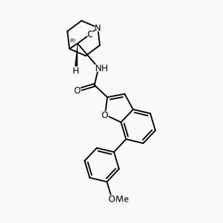 COc1cccc(-c2cccc3cc(C(=O)N[C@H]4CN5CCC4CC5)oc23)c1